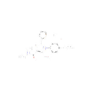 COc1cc2c(cc1OC(C)C)N1C(=C(C(=O)N(C)C(C)(C)C)NC1c1cccs1)CO2